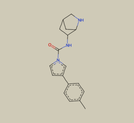 Cc1ccc(-c2ccn(C(=O)NC3CC4CNC3C4)c2)cc1